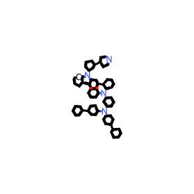 c1ccc(-c2ccc(N(c3ccc(-c4ccccc4)cc3)c3cccc(N(c4ccccc4)c4ccccc4-c4ccc5c6ccccc6n(-c6cccc(-c7ccncc7)c6)c5c4)c3)cc2)cc1